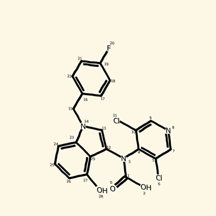 O=C(O)N(c1c(Cl)cncc1Cl)c1cn(Cc2ccc(F)cc2)c2cccc(O)c12